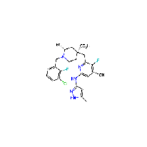 CC[C@@H]1C[C@](Cc2nc(Nc3cc(C)[nH]n3)cc(C#N)c2F)(C(=O)O)CCN1Cc1cccc(Cl)c1F